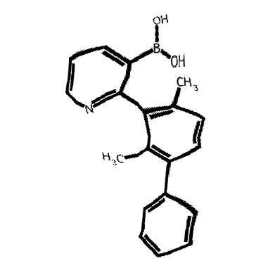 Cc1ccc(-c2ccccc2)c(C)c1-c1ncccc1B(O)O